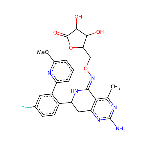 COc1cccc(-c2cc(F)ccc2C2Cc3nc(N)nc(C)c3C(=NOCC3OC(=O)C(O)C3O)N2)n1